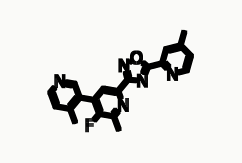 Cc1ccnc(-c2nc(-c3cc(-c4cnccc4C)c(F)c(C)n3)no2)c1